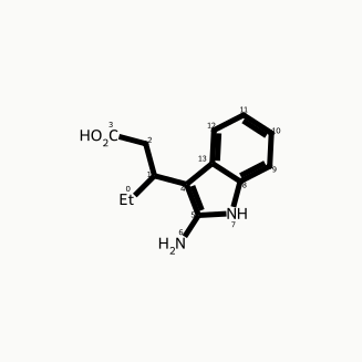 CCC(CC(=O)O)c1c(N)[nH]c2ccccc12